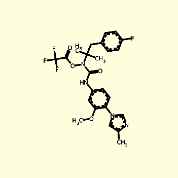 COc1cc(NC(=O)N(OC(=O)C(F)(F)F)C(C)(C)Cc2ccc(F)cc2)ccc1-n1cnc(C)c1